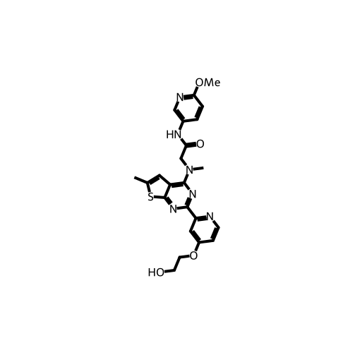 COc1ccc(NC(=O)CN(C)c2nc(-c3cc(OCCO)ccn3)nc3sc(C)cc23)cn1